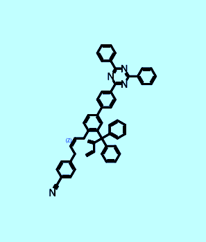 C=CC(=C)C(c1ccccc1)(c1ccccc1)c1cc(-c2ccc(-c3nc(-c4ccccc4)nc(-c4ccccc4)n3)cc2)ccc1C/C=C\Cc1ccc(C#N)cc1